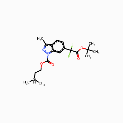 Cc1nn(C(=O)OCC[SiH](C)C)c2cc(C(F)(F)C(=O)OC(C)(C)C)ccc12